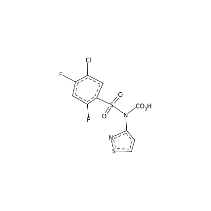 O=C(O)N(c1ccsn1)S(=O)(=O)c1cc(Cl)c(F)cc1F